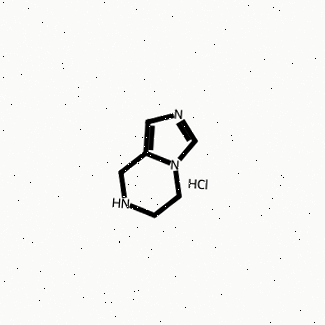 Cl.c1ncn2c1CNCC2